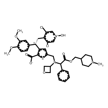 COc1ccc([C@H](Cc2c(Cl)c[n+](O)cc2Cl)c2cc(CN(C3COC3)C(C(=O)OCC3CCN(C)CC3)c3ccccc3)sc2C(=O)[O-])cc1OC